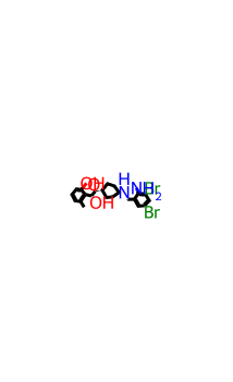 Cc1cccc(O)c1C(O)C(=O)[C@H]1CC[C@H](NCc2cc(Br)cc(Br)c2N)CC1